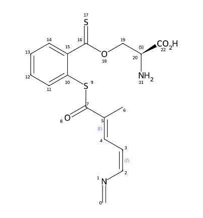 C=N/C=C\C=C(/C)C(=O)Sc1ccccc1C(=S)OC[C@H](N)C(=O)O